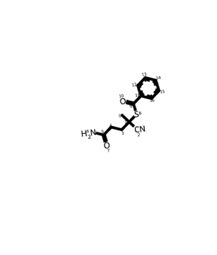 CC(C#N)(CCC(N)=O)SC(=O)c1ccccc1